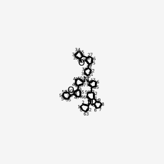 c1ccc(-n2c3ccccc3c3cc(-c4cccc(N(c5ccc(-c6cccc7c6oc6ccccc67)cc5)c5cccc(-c6cccc7c6oc6ccccc67)c5)c4)ccc32)cc1